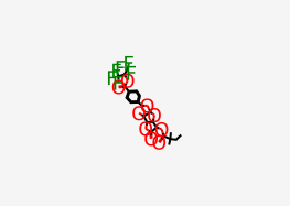 CCC(C)(C)C(=O)OC1C(=O)OC2C3OC(c4ccc(C(=O)OC(C(F)(F)F)C(F)(F)F)cc4)OC3OC12